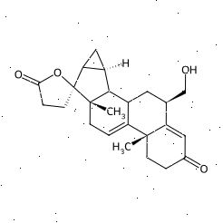 C[C@]12CCC(=O)C=C1[C@H](CO)CC1C2=CC[C@@]2(C)C1[C@@H]1CC1[C@@]21CCC(=O)O1